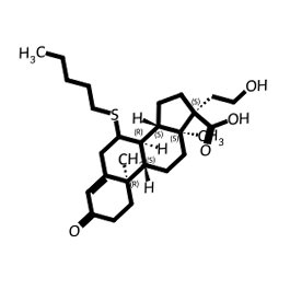 CCCCCSC1CC2=CC(=O)CC[C@]2(C)[C@H]2CC[C@@]3(C)[C@@H](CC[C@@]3(CCO)C(=O)O)[C@H]12